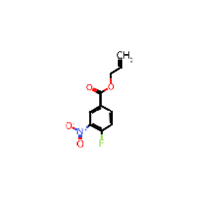 C=CCOC(=O)c1ccc(F)c([N+](=O)[O-])c1